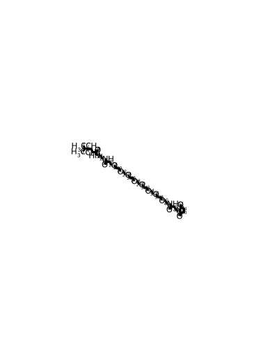 CC(C)C(C)(C)CCC(=O)NCCNC(=O)CCOCCOCCOCCOCCOCCOCCOCCOCCNC(=O)CCN1C(=O)C=CC1=O